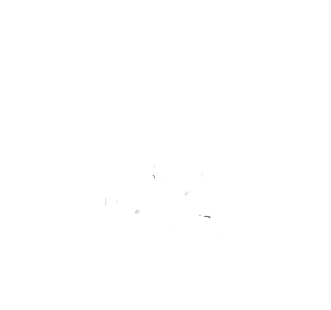 OC[C@H]1OC(O)[C@H](O)[C@@H](OCc2ccc3ccccc3c2)[C@@H]1O